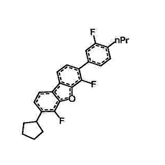 CCCc1ccc(-c2ccc3c(oc4c(F)c(C5CCCC5)ccc43)c2F)cc1F